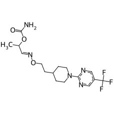 CC(C=NOCCC1CCN(c2ncc(C(F)(F)F)cn2)CC1)OC(N)=O